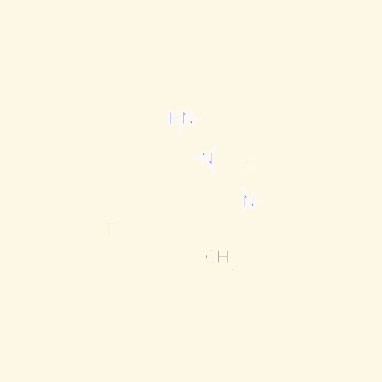 C=C(CCC(C(=O)N1CCCC1)N1CCNCC1)c1ccc(F)cc1